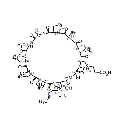 C/C=C/C[C@@H](C)[C@@H](O)[C@@H]1C(=O)N[C@H](CC)C(=O)N(C)[C@H](CSCCC(=O)O)C(=O)N(C)[C@@H](CC(C)C)C(=O)N[C@H](C(C)C)C(=O)N(C)[C@H](CC(C)C)C(=O)N[C@H](C)C(=O)N[C@@H](C)C(=O)N(C)[C@H](CC(C)C)C(=O)N(C)[C@H](CC(C)C)C(=O)N(C)[C@H](C(C)C)C(=O)N1C